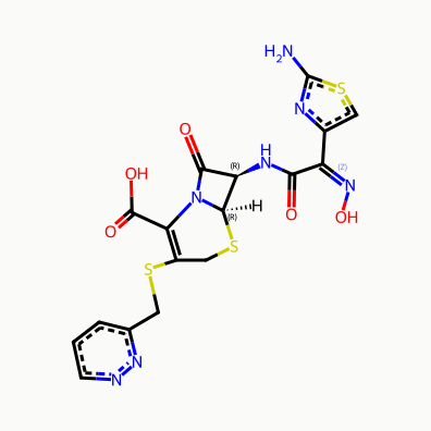 Nc1nc(/C(=N/O)C(=O)N[C@@H]2C(=O)N3C(C(=O)O)=C(SCc4cccnn4)CS[C@H]23)cs1